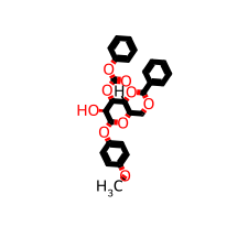 COc1ccc(OC2OC3COC(c4ccccc4)O[C@@H]3C(OC(=O)Oc3ccccc3)[C@@H]2O)cc1